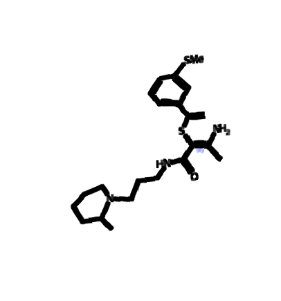 C=C(S/C(C(=O)NCCCN1CCCCC1C)=C(/C)N)c1cccc(SC)c1